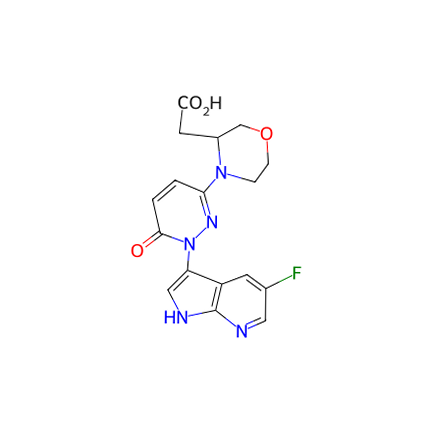 O=C(O)CC1COCCN1c1ccc(=O)n(-c2c[nH]c3ncc(F)cc23)n1